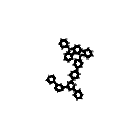 c1ccc(-c2cccc(-c3cc(-c4ccccc4)nc(-c4ccc(-c5ccc(-n6c7ccccc7c7ccc8c(c9ccccc9n8-c8ccccc8)c76)cc5)cc4)n3)c2)cc1